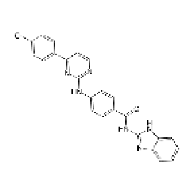 O=C(Nc1nc2ccccc2[nH]1)c1ccc(Nc2nccc(-c3ccc(Cl)cc3)n2)cc1